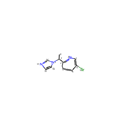 CC(c1ccc(Br)cn1)n1ccnc1